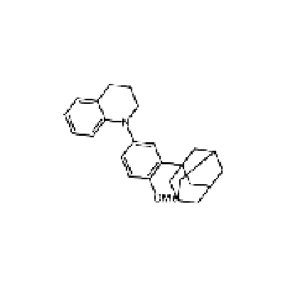 COc1ccc(N2CCCc3ccccc32)cc1C12CC3CC(CC(C3)C1)C2